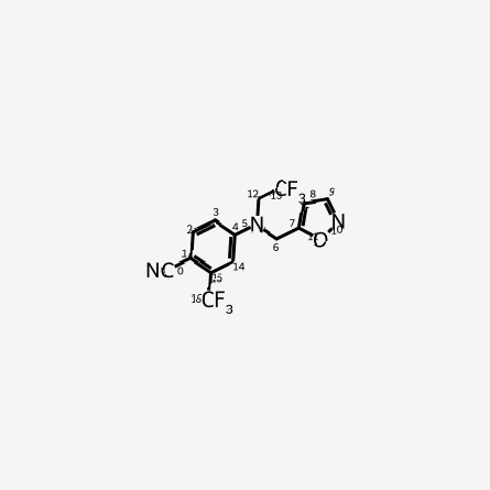 N#Cc1ccc(N(Cc2ccno2)CC(F)(F)F)cc1C(F)(F)F